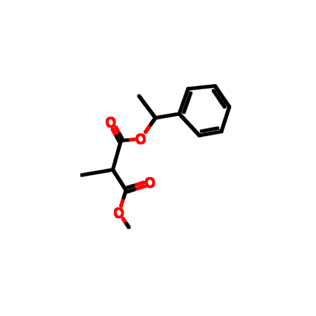 COC(=O)C(C)C(=O)OC(C)c1ccccc1